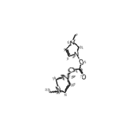 CN1C=CN(OC(=O)ON2C=CN(C)C2)C1